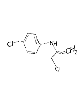 C=C(CCl)Nc1ccc(Cl)cc1